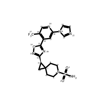 NS(=O)(=O)N1CCC2(CC1)C[C@H]2c1noc(-c2cc(-n3ccnc3)ncc2C(F)(F)F)n1